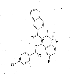 CN1C(C(=O)c2ccc3ccccc3c2)=C(OC(=O)c2ccc(Cl)cc2)c2cc(F)ccc2S1(=O)=O